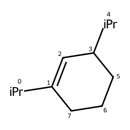 CC(C)C1=CC(C(C)C)CCC1